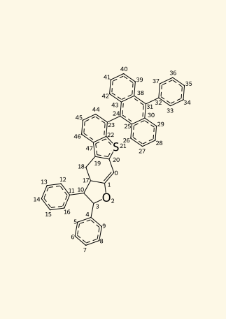 C1=C2OC(c3ccccc3)C(c3ccccc3)C2Cc2c1sc1c(-c3c4ccccc4c(-c4ccccc4)c4ccccc34)cccc21